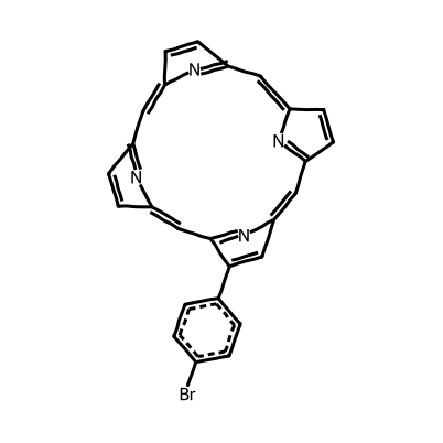 Brc1ccc(C2=CC3=CC4=NC(=CC5=NC(=CC6=NC(=CC2=N3)C=C6)C=C5)C=C4)cc1